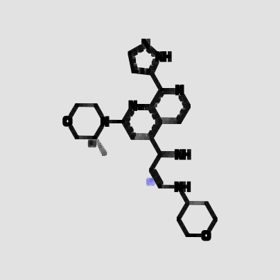 C[C@@H]1COCCN1c1cc(C(=N)/C=C\NC2CCOCC2)c2ccnc(-c3ccn[nH]3)c2n1